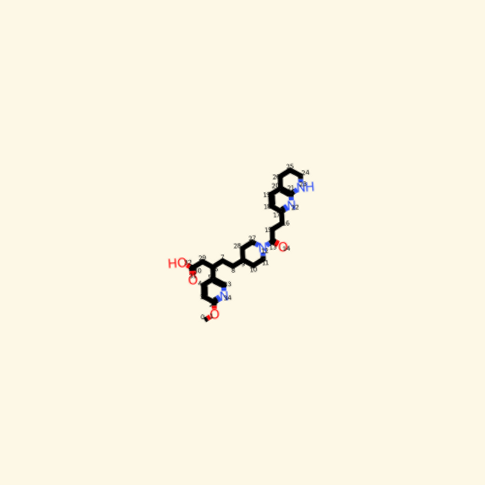 COc1ccc(C(CCC2CCN(C(=O)CCc3ccc4c(n3)NCCC4)CC2)CC(=O)O)cn1